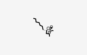 CCCCCCC[C@@H](CCC)OS(C)(=O)=O